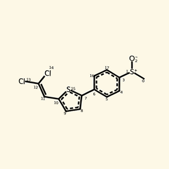 C[S+]([O-])c1ccc(-c2ccc(C=C(Cl)Cl)s2)cc1